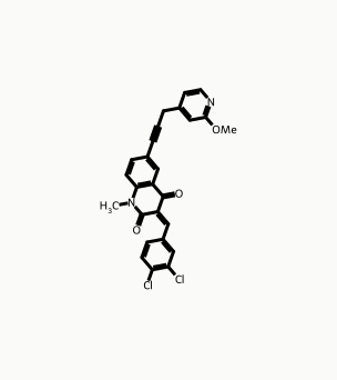 COc1cc(CC#Cc2ccc3c(c2)C(=O)/C(=C/c2ccc(Cl)c(Cl)c2)C(=O)N3C)ccn1